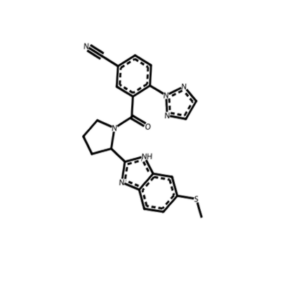 CSc1ccc2nc(C3CCCN3C(=O)c3cc(C#N)ccc3-n3nccn3)[nH]c2c1